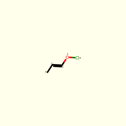 CC=COCl